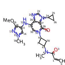 C=CC(=O)N(C)C1CC(n2cc(Nc3cn(C)nc3OC)c3ncn(C4CC4)c3c2=O)C1